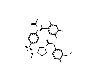 COc1cc([C@@H](Nc2cc(C(N)=O)c(F)cc2F)C(=O)N2CC[C@H](C(=O)O)[C@@H]2c2cc(NC(C)=O)ccc2S(C)(=O)=O)ccc1F